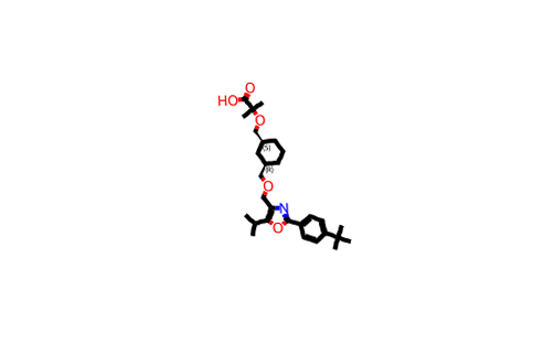 CC(C)c1oc(-c2ccc(C(C)(C)C)cc2)nc1COC[C@@H]1CCC[C@H](COC(C)(C)C(=O)O)C1